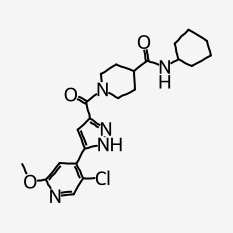 COc1cc(-c2cc(C(=O)N3CCC(C(=O)NC4CCCCC4)CC3)n[nH]2)c(Cl)cn1